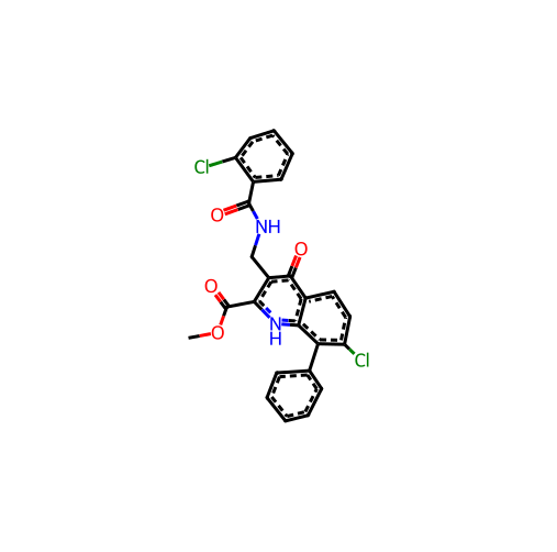 COC(=O)c1[nH]c2c(-c3ccccc3)c(Cl)ccc2c(=O)c1CNC(=O)c1ccccc1Cl